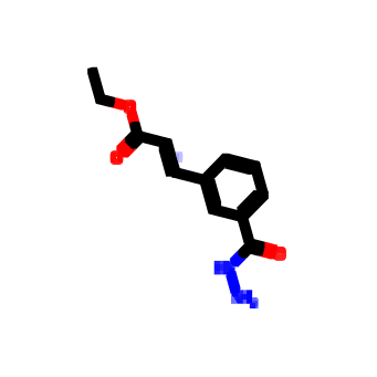 CCOC(=O)/C=C/c1cccc(C(=O)NN)c1